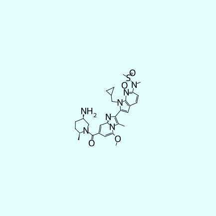 COc1cc(C(=O)N2C[C@H](N)CC[C@@H]2C)cc2nc(-c3cc4ccc(N(C)S(C)(=O)=O)nc4n3CC3CC3)c(C)n12